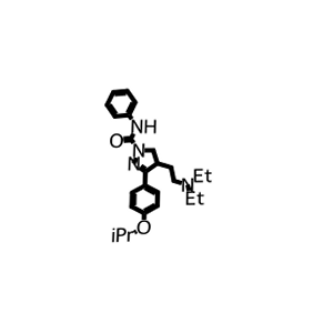 CCN(CC)CCC1CN(C(=O)Nc2ccccc2)N=C1c1ccc(OC(C)C)cc1